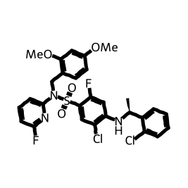 COc1ccc(CN(c2cccc(F)n2)S(=O)(=O)c2cc(Cl)c(N[C@@H](C)c3ccccc3Cl)cc2F)c(OC)c1